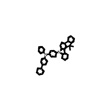 CC1(C)c2ccccc2-c2ccc3c(c21)c1ccccc1n3-c1ccc(N(c2ccccc2)c2ccc(-c3ccccc3)cc2)cc1